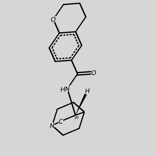 O=C(N[C@H]1CN2CCC1CC2)c1ccc2c(c1)CCCO2